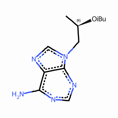 CC(C)CO[C@H](C)Cn1cnc2c(N)ncnc21